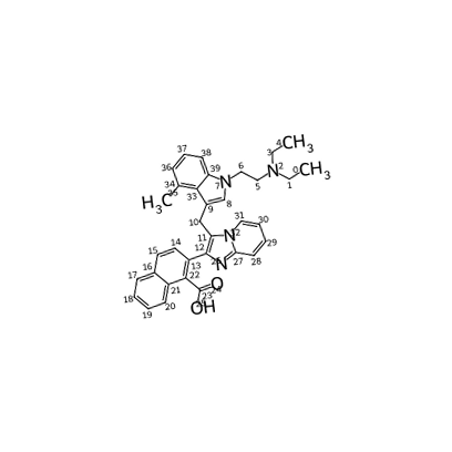 CCN(CC)CCn1cc(Cc2c(-c3ccc4ccccc4c3C(=O)O)nc3ccccn23)c2c(C)cccc21